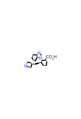 O=C(O)c1cccc(C#Cc2ccncc2)c1-n1cnc2ccccc21